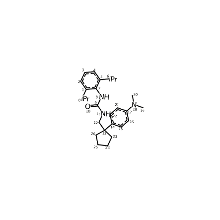 CC(C)c1cccc(C(C)C)c1NC(=O)NCC1(c2ccc(N(C)C)cc2)CCCC1